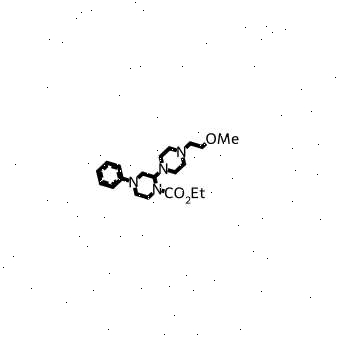 CCOC(=O)N1CCN(c2ccccc2)CC1N1CCN(CCOC)CC1